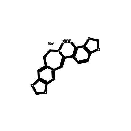 CN1CCc2cc3c(cc2C=C1c1ccc2c(c1C(=O)[O-])OCO2)OCO3.[Na+]